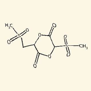 CS(=O)(=O)CC1OC(=O)C(S(C)(=O)=O)OC1=O